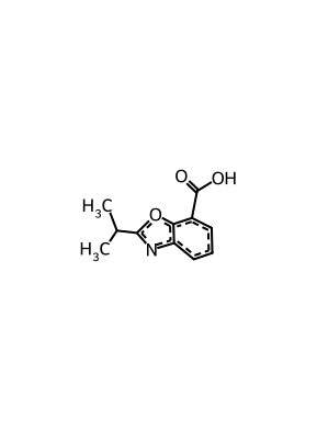 CC(C)c1nc2cccc(C(=O)O)c2o1